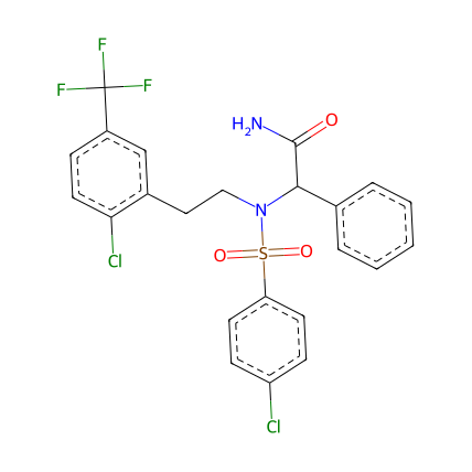 NC(=O)C(c1ccccc1)N(CCc1cc(C(F)(F)F)ccc1Cl)S(=O)(=O)c1ccc(Cl)cc1